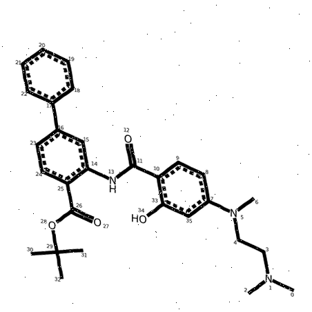 CN(C)CCN(C)c1ccc(C(=O)Nc2cc(-c3ccccc3)ccc2C(=O)OC(C)(C)C)c(O)c1